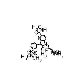 CNC(=O)c1ccc2c(n1)c(-c1cccc(S(=O)(=O)N(C)C)c1)c(C)n2CC(F)=CCN.Cl.Cl